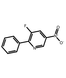 O=[N+]([O-])c1cnc(-c2ccccc2)c(F)c1